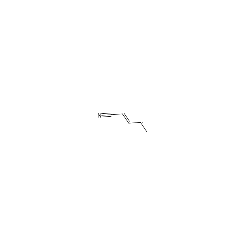 C[CH]/C=C/C#N